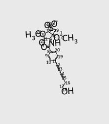 CCOC1(C(NC(=O)c2ccc(C#CC#CCCO)cc2)C(=O)OC)CS(=O)(=O)C1